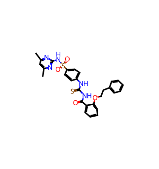 Cc1cc(C)nc(NS(=O)(=O)c2ccc(NC(=S)NC(=O)c3ccccc3OCCc3ccccc3)cc2)n1